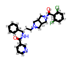 O=C(N[C@@H](CCN1CC2CN(C(=O)c3c(F)cccc3Cl)CC2C1)c1ccccc1)c1cccnc1